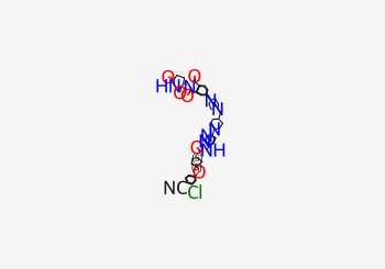 N#Cc1ccc(O[C@H]2CC[C@H](C(=O)Nc3ccc(N4CCC(CN5CCN(c6ccc7c(c6)C(=O)N(C6CCC(=O)NC6=O)C7=O)CC5)CC4)nn3)C2)cc1Cl